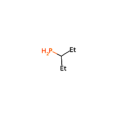 [CH2]CC(P)CC